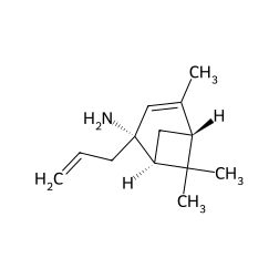 C=CC[C@@]1(N)C=C(C)[C@H]2C[C@H]1C2(C)C